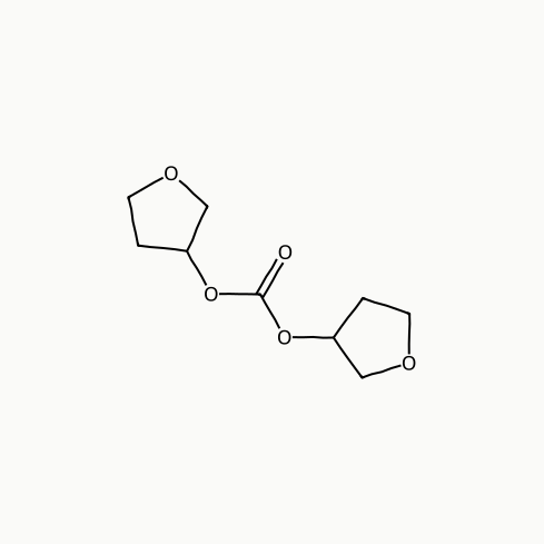 O=C(OC1CCOC1)OC1CCOC1